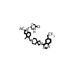 Cc1c(CN2CCC3(CC2)CN(c2ncnc4ccc(CC(F)(F)F)cc24)C3)ccc2c1cc(C#N)n2C[C@H]1CNC(=O)CO1